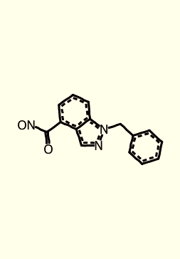 O=NC(=O)c1cccc2c1cnn2Cc1ccccc1